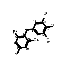 Cc1cc(F)c(Cc2cc(F)c(C)c(F)c2)c(F)c1